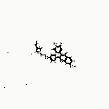 CC1=C(c2cc(F)c(F)c(F)c2)C(c2ccc(OCCN3CC(CF)C3)cc2)Oc2cc(O)ccc21